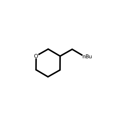 [CH2]CCCCC1CCCOC1